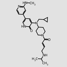 CNc1cc(-c2c[nH]c(=O)c(N(CC3CC3)C3CCN(C(=O)C=CCNC(C)C)CC3)c2)ccn1